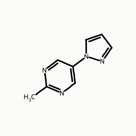 Cc1ncc(-n2cccn2)cn1